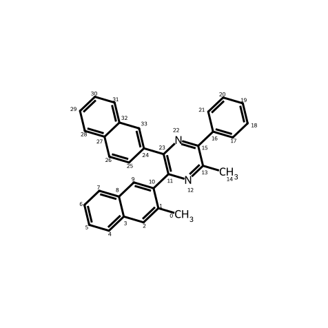 Cc1cc2ccccc2cc1-c1nc(C)c(-c2ccccc2)nc1-c1ccc2ccccc2c1